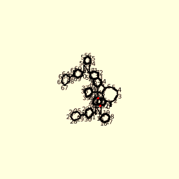 C=C1/C=C\C=C/CC2=C(c3ccc(N(c4ccccc4)c4ccc(C5CCCCC5)cc4)cc31)C(c1ccccc1)(c1ccccc1)c1cc3cc(N(c4ccccc4)c4ccc(C5CCCCC5)cc4)ccc3cc12